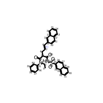 CCN(C(=O)C(C/C=C/c1ccc2ccccc2c1)C(=O)NS(=O)(=O)c1ccc2ccccc2c1)c1ccccc1